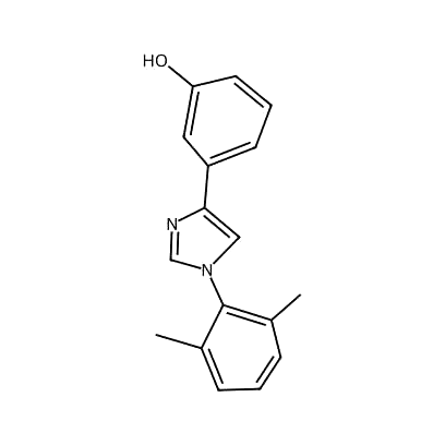 Cc1cccc(C)c1-n1cnc(-c2cccc(O)c2)c1